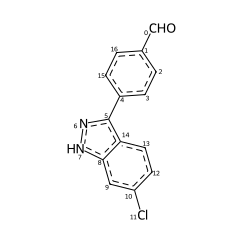 O=Cc1ccc(-c2n[nH]c3cc(Cl)ccc23)cc1